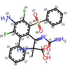 CC(N)(C(=O)O)C(=NC(N)=O)c1c(-c2ccccc2)c(F)c(N)c(F)c1S(=O)(=O)c1ccccc1